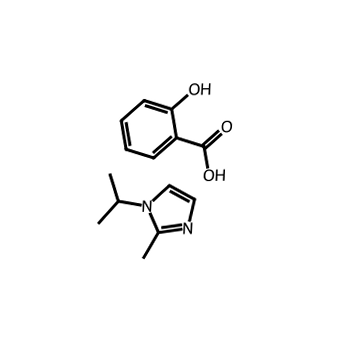 Cc1nccn1C(C)C.O=C(O)c1ccccc1O